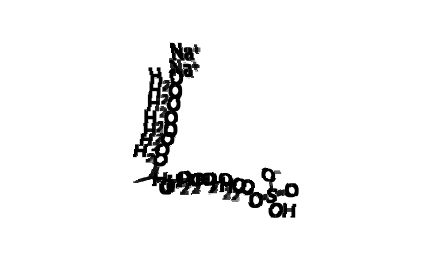 CC(=O)[O-].O.O.O.O.O.O.O.O.O.O.O.O.O.O=S(=O)([O-])O.[Na+].[Na+]